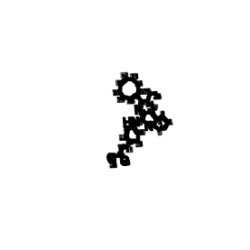 C/C=C\c1c(C)nc(Nc2ccc(/C=C/C(=O)OC)cc2)c(/N=C(\CCC)C2CCC/C=C\CCC2)c1C